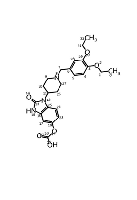 CCOc1ccc(CN2CCC(n3c(=O)[nH]c4cc(OC(=O)O)ccc43)CC2)cc1OCC